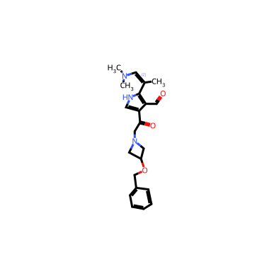 C/C(=C/N(C)C)c1[nH]cc(C(=O)CN2CC(OCc3ccccc3)C2)c1C=O